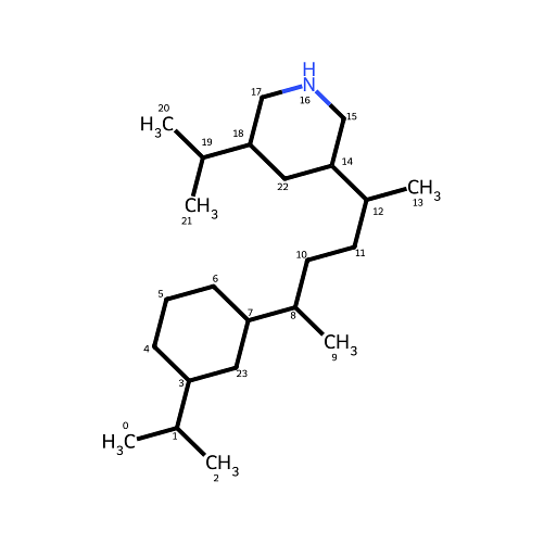 CC(C)C1CCCC(C(C)CCC(C)C2CNCC(C(C)C)C2)C1